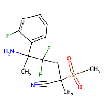 CC(N)(c1ccccc1F)C(F)(F)CC(C)(C#N)S(C)(=O)=O